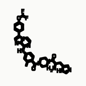 Cc1cc(Nc2nccn3c(-c4ccc(OC(F)F)cc4)cnc23)ccc1C(=O)N1CCN(C(=O)C(N)Cc2cnc[nH]2)CC1